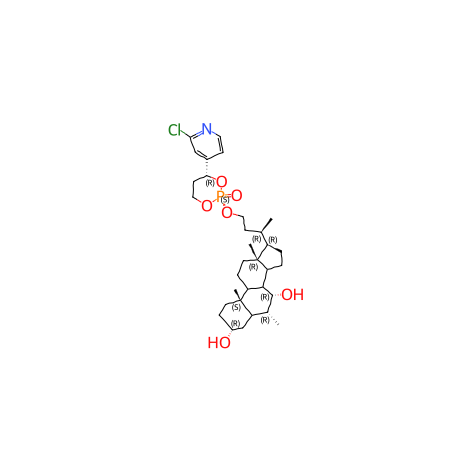 C[C@H](CCO[P@@]1(=O)OCC[C@H](c2ccnc(Cl)c2)O1)[C@H]1CCC2C3C(CC[C@@]21C)[C@@]1(C)CC[C@@H](O)CC1[C@@H](C)[C@H]3O